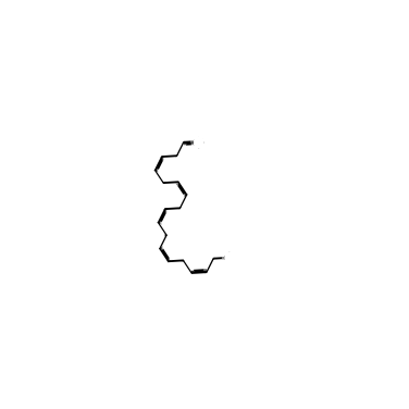 CC/C=C\C/C=C\C/C=C\C/C=C\C/C=C\CC=O